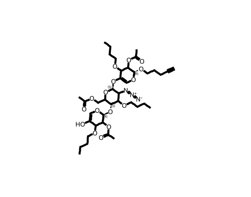 C#CCCCO[C@@H]1OC=C(O[C@@H]2OC(COC(C)=O)[C@@H](O[C@@H]3OC=C(O)C(OCCCC)C3OC(C)=O)C(OCCCC)C2N=[N+]=[N-])C(OCCCC)C1OC(C)=O